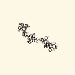 COc1cc(C2NC(=O)c3ccccc3N2)ccc1OCCCCOc1c(OC)cc(C2=NOC(c3cc(OC)c(OC)c(OC)c3)C2)cc1OC